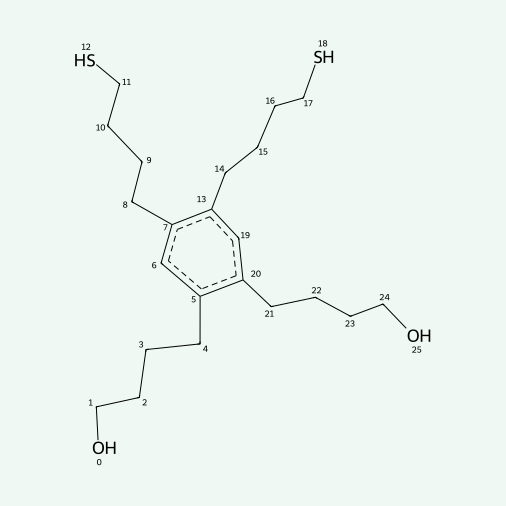 OCCCCc1cc(CCCCS)c(CCCCS)cc1CCCCO